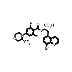 O=C(N[C@@H](Cc1ccc(Br)c2ncccc12)C(=O)O)c1c(F)cc(N2CCOC[C@@H]2C(F)(F)F)cc1F